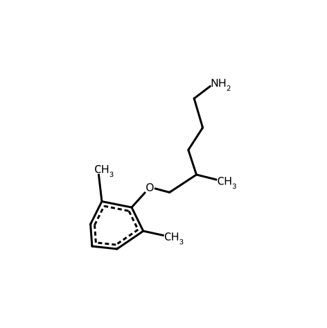 Cc1cccc(C)c1OCC(C)CCCN